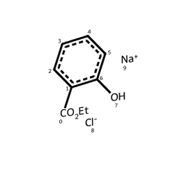 CCOC(=O)c1ccccc1O.[Cl-].[Na+]